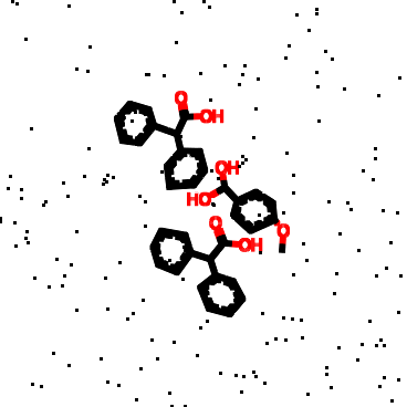 COc1ccc(C(O)O)cc1.O=C(O)C(c1ccccc1)c1ccccc1.O=C(O)C(c1ccccc1)c1ccccc1